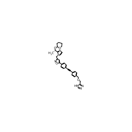 C[C@H](OC1CCCCO1)c1nccn1Cc1cc(-c2ccc(C#Cc3ccc(COCc4nnc[nH]4)cc3)cc2)on1